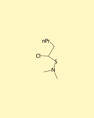 CCCCC(Cl)SN(C)C